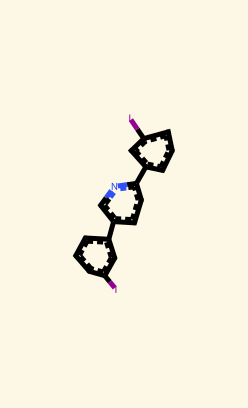 Ic1cccc(-c2ccc(-c3cccc(I)c3)nc2)c1